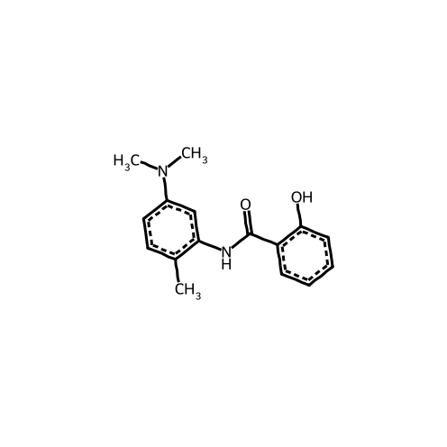 Cc1ccc(N(C)C)cc1NC(=O)c1ccccc1O